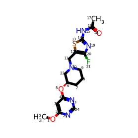 COc1cc(O[C@@H]2CCCN(Cc3sc(NC(C)=O)nc3F)C2)ncn1